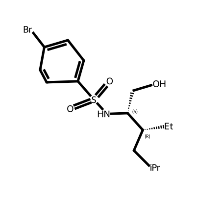 CC[C@H](CC(C)C)[C@@H](CO)NS(=O)(=O)c1ccc(Br)cc1